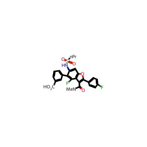 CCCS(=O)(=O)Nc1cc2oc(-c3ccc(F)cc3)c(C(=O)NC)c2c(F)c1-c1cccc(C(=O)O)c1